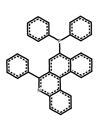 c1ccc(-c2nc3ccccc3c3c2cc(P(c2ccccc2)c2ccccc2)c2ccccc23)cc1